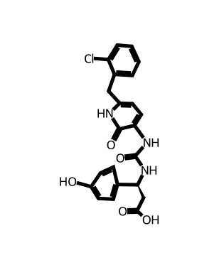 O=C(O)C[C@H](NC(=O)Nc1ccc(Cc2ccccc2Cl)[nH]c1=O)c1ccc(O)cc1